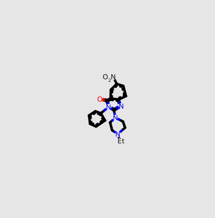 CCN1CCN(c2nc3ccc([N+](=O)[O-])cc3c(=O)n2-c2ccccc2)CC1